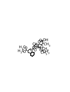 COC(OC)[C@@H]1Cc2ccccc2N(C(=O)CC(C)(C)C[C@H](NC(=O)OC(C)(C)C)[C@@H](O)C[C@@H](C)C(=O)O)C1